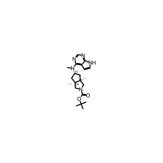 CN(c1ncnc2[nH]ccc12)[C@@H]1C[C@@]2(C)CN(C(=O)OC(C)(C)C)C[C@@]2(C)C1